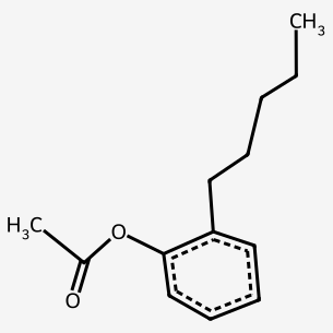 CCCCCc1ccccc1OC(C)=O